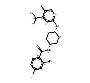 Cc1cnc(N[C@H]2CC[C@@H](NC(=O)c3ccc(F)cc3F)CC2)nc1N(C)C